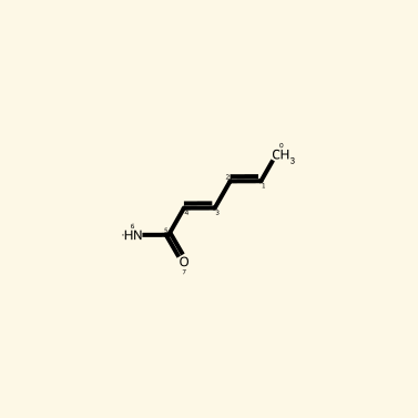 CC=CC=CC([NH])=O